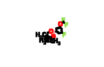 CC1(C)COB(c2cc(F)cc(OC(F)F)c2)OC1(C)C